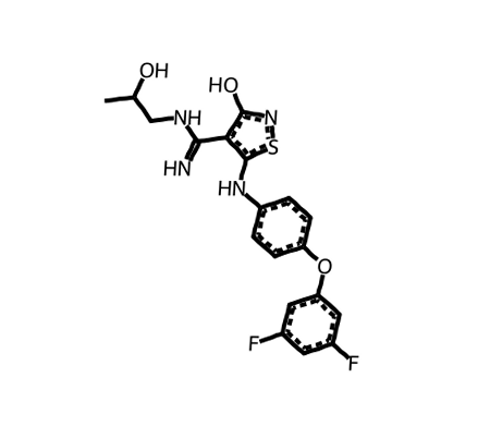 CC(O)CNC(=N)c1c(O)nsc1Nc1ccc(Oc2cc(F)cc(F)c2)cc1